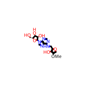 COc1coc(CNc2ncnc3c2ncn3C2O[C@H](CO)[C@@H](O)[C@@H]2O)c1O